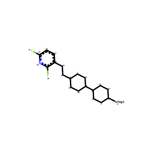 CCCCCCCC1CCC(C2CCC(CCc3ccc(F)nc3F)CC2)CC1